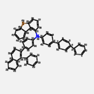 c1ccc(-c2ccc(-c3ccc(N(c4ccc(-c5ccc6ccccc6c5-c5ccccc5)cc4)c4cccc5sc6ccccc6c45)cc3)cc2)cc1